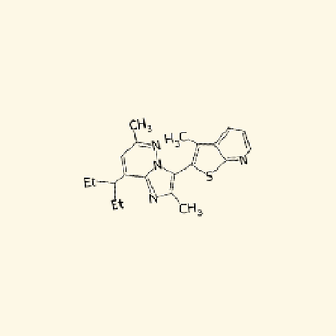 CCC(CC)c1cc(C)nn2c(-c3sc4ncccc4c3C)c(C)nc12